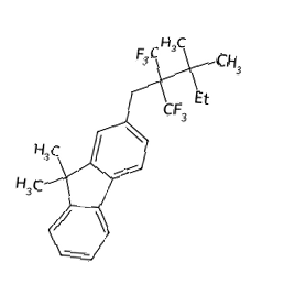 CCC(C)(C)C(Cc1ccc2c(c1)C(C)(C)c1ccccc1-2)(C(F)(F)F)C(F)(F)F